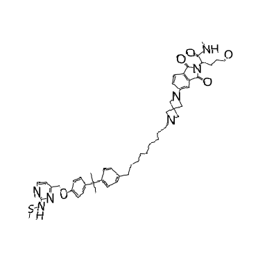 CNC(=O)C(CCC=O)N1C(=O)c2ccc(N3CC4(CN(CCCCCCCCCc5ccc(C(C)(C)c6ccc(OCc7ccnc(NSC)n7)cc6)cc5)C4)C3)cc2C1=O